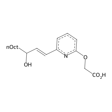 CCCCCCCCC(O)C=Cc1cccc(OCC(=O)O)n1